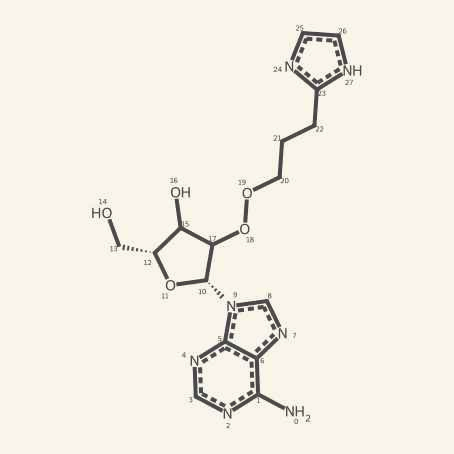 Nc1ncnc2c1ncn2[C@@H]1O[C@H](CO)C(O)C1OOCCCc1ncc[nH]1